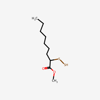 CCCCCCCC(SS)C(=O)OC